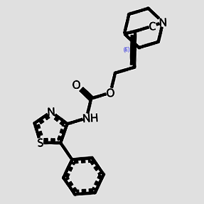 O=C(Nc1ncsc1-c1ccccc1)OC/C=C1/CN2CCC1CC2